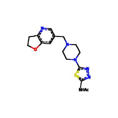 CC(=O)Nc1nnc(N2CCN(Cc3cnc4c(c3)OCC4)CC2)s1